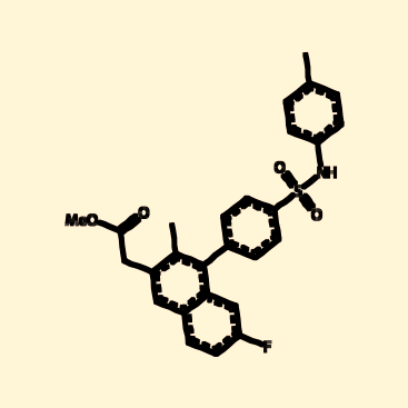 COC(=O)Cc1cc2ccc(F)cc2c(-c2ccc(S(=O)(=O)Nc3ccc(C)cc3)cc2)c1C